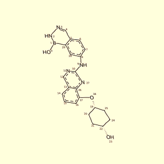 OB1NN=Cc2ccc(Nc3ncc4cccc(O[C@H]5CC[C@@H](O)CC5)c4n3)cc21